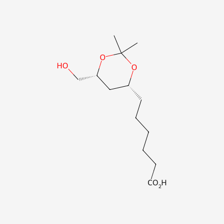 CC1(C)O[C@H](CCCCCC(=O)O)C[C@H](CO)O1